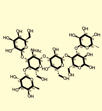 CC(=O)N[C@H]1[C@H](O[C@H]2[C@@H](O)[C@@H](CO)O[C@@H](O[C@H]3[C@H](O[C@@H]4O[C@@H](C)[C@@H](O)[C@@H](O)[C@@H]4O)[C@@H](O)C(O)O[C@@H]3CO)[C@@H]2O)O[C@H](CO)[C@@H](O[C@@H]2O[C@@H](C)[C@@H](O)[C@@H](O)[C@@H]2O)[C@@H]1O[C@@H]1O[C@H](CO)[C@H](O)[C@H](O)[C@H]1O